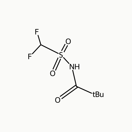 CC(C)(C)C(=O)NS(=O)(=O)C(F)F